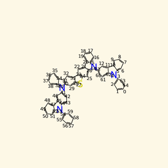 c1ccc(-n2c3ccccc3c3cc(-n4c5ccccc5c5cc6c(cc54)sc4cc5c(cc46)c4ccccc4n5-c4ccc5c(c4)c4ccccc4n5-c4ccccc4)ccc32)cc1